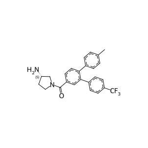 Cc1ccc(-c2ccc(C(=O)N3CC[C@H](N)C3)cc2-c2ccc(C(F)(F)F)cc2)cc1